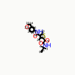 C#CC(C)(C)NC(=O)C(=O)c1sc(C)c(C(=O)Nc2ccc3occc3c2)c1C